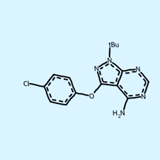 CC(C)(C)n1nc(Oc2ccc(Cl)cc2)c2c(N)ncnc21